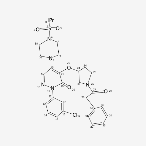 CC(C)S(=O)(=O)N1CCN(c2cnn(-c3cccc(Cl)c3)c(=O)c2OC2CCN(C(=O)Cc3ccccc3)C2)CC1